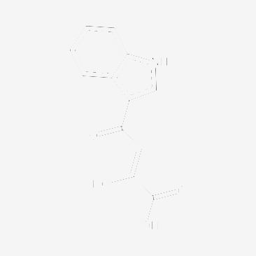 O=C(O)C(O)=CC(=O)c1c[nH]c2ccccc12